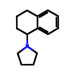 c1ccc2c(c1)CCCC2N1CCCC1